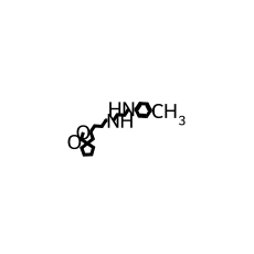 Cc1ccc(NCCNCCCC2CC3(CCCC3)C(=O)O2)cc1